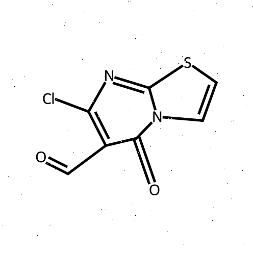 O=Cc1c(Cl)nc2sccn2c1=O